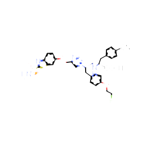 N#Cc1ccc(C[C@H](NC[C@@H](Cc2ccc(OCCF)cc2)n2cc(COc3ccc4nc(S(N)(=O)=O)sc4c3)nn2)C(=O)O)cc1